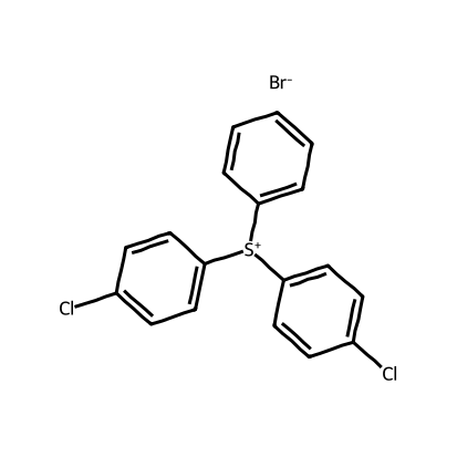 Clc1ccc([S+](c2ccccc2)c2ccc(Cl)cc2)cc1.[Br-]